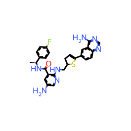 C[C@H](NC(=O)c1cc(N)cnc1NCC1CC=C(c2ccc3ncnc(N)c3c2)S1)c1ccc(F)cc1